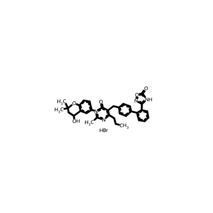 Br.CCCc1nc(C)n(-c2ccc3c(c2)C(O)CC(C)(C)O3)c(=O)c1Cc1ccc(-c2ccccc2-c2noc(=O)[nH]2)cc1